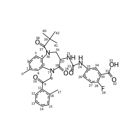 Cc1ccc2c(c1)N(CC(=O)c1ccccc1C)C(=O)C(NC(=O)Nc1ccc(F)c(C(=O)O)c1)CN2C(=O)C(C)(C)C